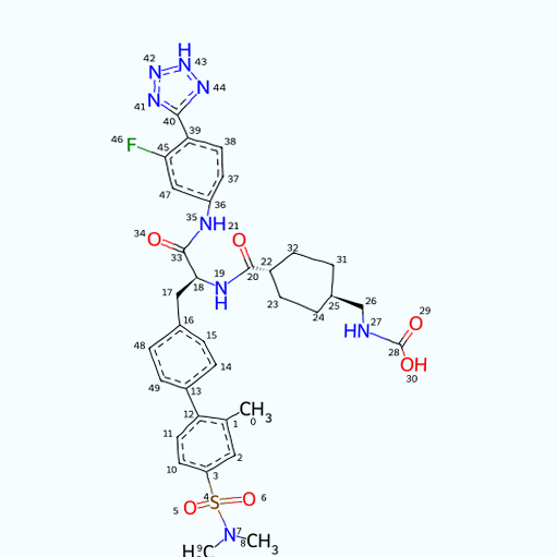 Cc1cc(S(=O)(=O)N(C)C)ccc1-c1ccc(C[C@H](NC(=O)[C@H]2CC[C@H](CNC(=O)O)CC2)C(=O)Nc2ccc(-c3nn[nH]n3)c(F)c2)cc1